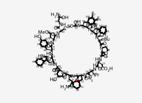 CCCC[C@H]1C(=O)N2CCO[C@@H]2C(=O)N[C@@H](CC(=O)O)C(=O)N[C@@H](C(C)C)C(=O)N(C)C(Cc2ccccc2)C(=O)N[C@@H](CCCN)C(=O)N2C[C@H](O)C[C@@H]2C(=O)N[C@@H](Cc2c[nH]c3ccccc23)C(=O)N[C@@H](Cc2ccc(O)cc2)C(=O)N[C@@H](CCOC)C(=O)N[C@H](C(=O)NCC(N)O)CSCC(=O)N[C@@H](Cc2cc(F)c(F)c(F)c2)C(=O)N(C)[C@@H](Cc2ccccc2)C(=O)N1C